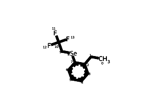 CCc1ccccc1[Se]CC(F)(F)F